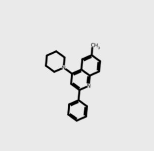 Cc1ccc2nc(-c3ccccc3)cc(N3CCCCC3)c2c1